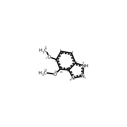 COc1ccc2[nH]nnc2c1OC